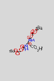 CC(C)(C)OC(=O)COCC(=O)NCC(CNC(=O)COCC(=O)OC(C)(C)C)OCC(=O)O